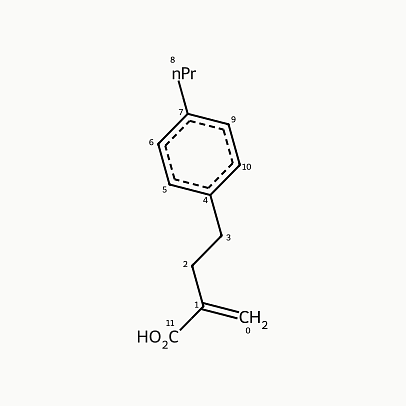 C=C(CCc1ccc(CCC)cc1)C(=O)O